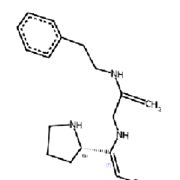 C=C(CN/C(=C\CC)[C@@H]1CCCN1)NCCc1ccccc1